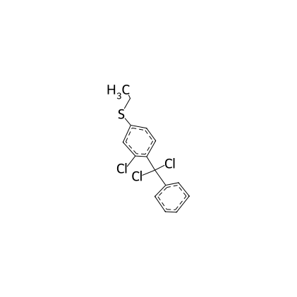 CCSc1ccc(C(Cl)(Cl)c2ccccc2)c(Cl)c1